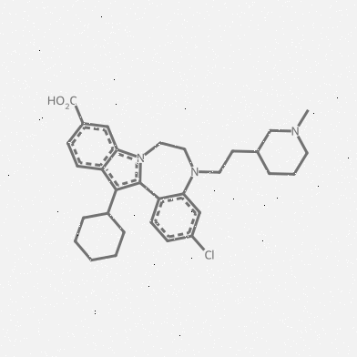 CN1CCCC(CCN2CCn3c(c(C4CCCCC4)c4ccc(C(=O)O)cc43)-c3ccc(Cl)cc32)C1